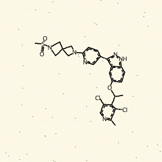 Cc1ncc(Cl)c(C(C)Oc2ccc3[nH]nc(-c4ccc(N5CC6(C5)CN(S(C)(=O)=O)C6)nc4)c3c2)c1Cl